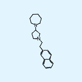 c1ccc2cc(CCN3CCC(N4CCCCCC4)C3)ccc2c1